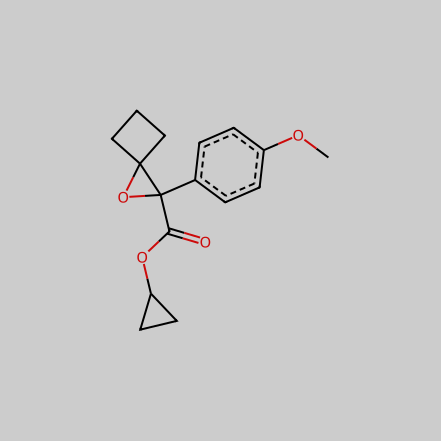 COc1ccc(C2(C(=O)OC3CC3)OC23CCC3)cc1